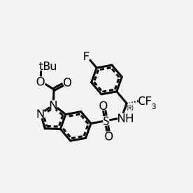 CC(C)(C)OC(=O)n1ncc2ccc(S(=O)(=O)N[C@H](c3ccc(F)cc3)C(F)(F)F)cc21